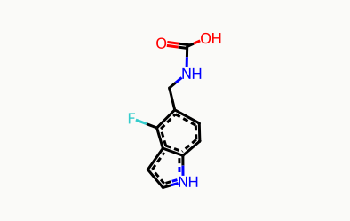 O=C(O)NCc1ccc2[nH]ccc2c1F